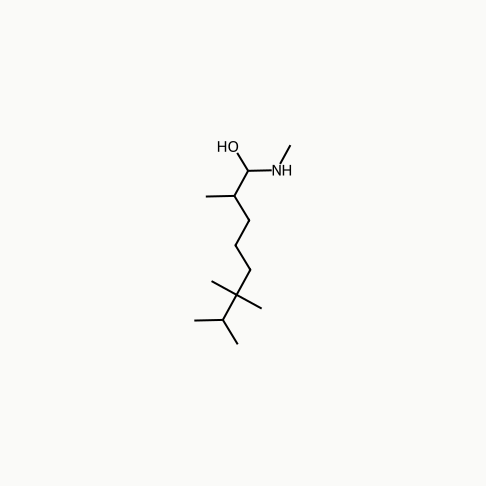 CNC(O)C(C)CCCC(C)(C)C(C)C